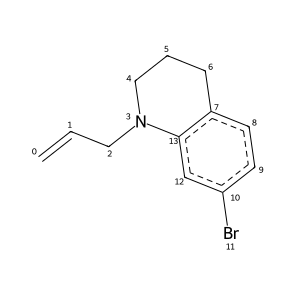 C=CCN1CCCc2ccc(Br)cc21